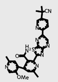 COc1cnc(C)cc1-c1cc(C)nc(-c2nc3ncc(-c4ccc(C(C)(C)C#N)cn4)nc3s2)c1C(N)=O